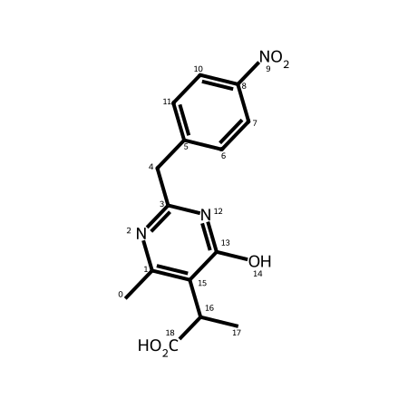 Cc1nc(Cc2ccc([N+](=O)[O-])cc2)nc(O)c1C(C)C(=O)O